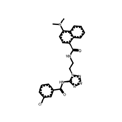 CN(C)c1ccc(C(=O)NCCn2nnnc2NC(=O)c2cccc(Cl)c2)c2ccccc12